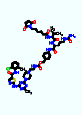 Cc1nc(Nc2ncc(C(=O)Nc3c(C)cccc3Cl)s2)nc(N2CCN(CCNC(=O)OCc3ccc(NC(=O)[C@H](CCCNC(N)=O)NC(=O)[C@@H](NC(=O)CCCCCN4C(=O)C=CC4=O)C(C)C)cc3)CC2)n1